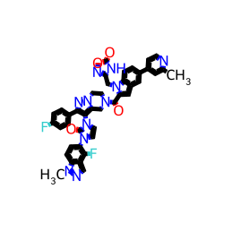 Cc1cc(-c2ccc3c(c2)cc(C(=O)N2CCn4nc(-c5ccc(F)cc5)c(-n5ccn(-c6ccc7c(cnn7C)c6F)c5=O)c4C2)n3Cc2noc(=O)[nH]2)ccn1